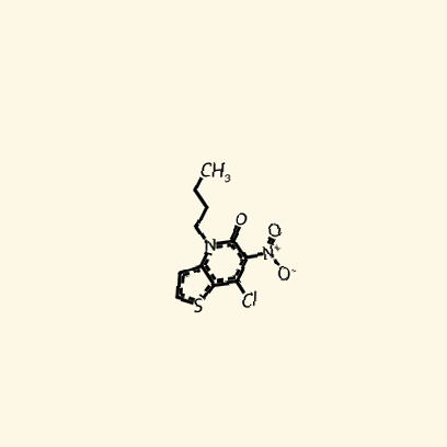 CCCCn1c(=O)c([N+](=O)[O-])c(Cl)c2sccc21